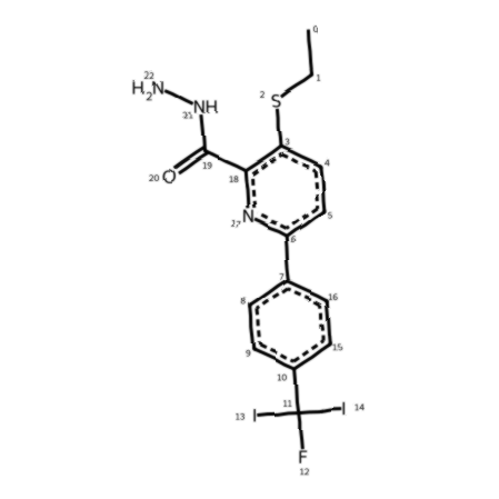 CCSc1ccc(-c2ccc(C(F)(I)I)cc2)nc1C(=O)NN